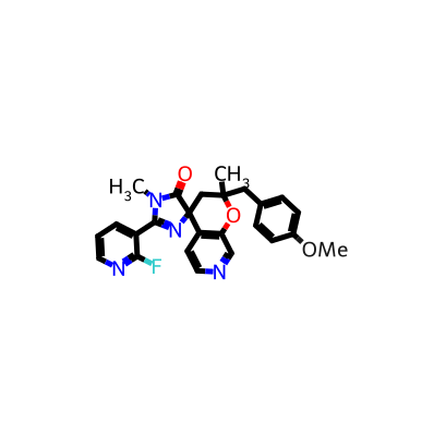 COc1ccc(CC2(C)CC3(N=C(c4cccnc4F)N(C)C3=O)c3ccncc3O2)cc1